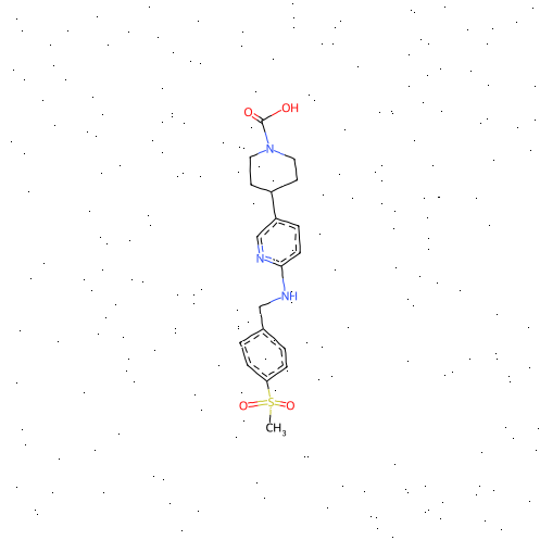 CS(=O)(=O)c1ccc(CNc2ccc(C3CCN(C(=O)O)CC3)cn2)cc1